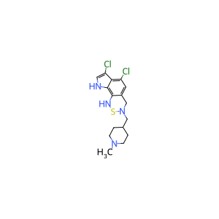 CN1CCC(CN2Cc3cc(Cl)c4c(Cl)c[nH]c4c3NS2)CC1